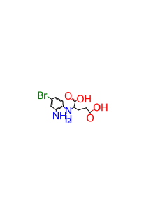 Nc1cc(Br)ccc1NC(CCC(=O)O)C(=O)O